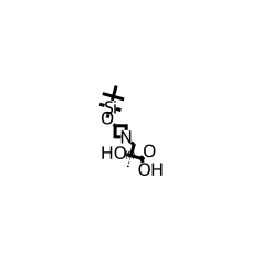 CC(C)(C)[Si](C)(C)OC1CN(C[C@](C)(O)C(=O)O)C1